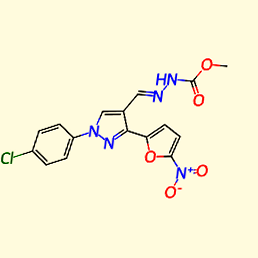 COC(=O)N/N=C/c1cn(-c2ccc(Cl)cc2)nc1-c1ccc([N+](=O)[O-])o1